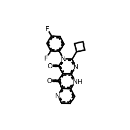 O=c1c2ncccc2[nH]c2nc(C3CCC3)n(-c3ccc(F)cc3F)c(=O)c12